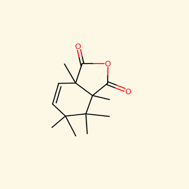 CC1(C)C=CC2(C)C(=O)OC(=O)C2(C)C1(C)C